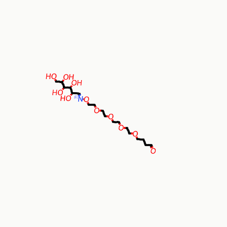 O=CCCCOCCOCCOCCOCCO/N=C/C(O)C(O)C(O)C(O)CO